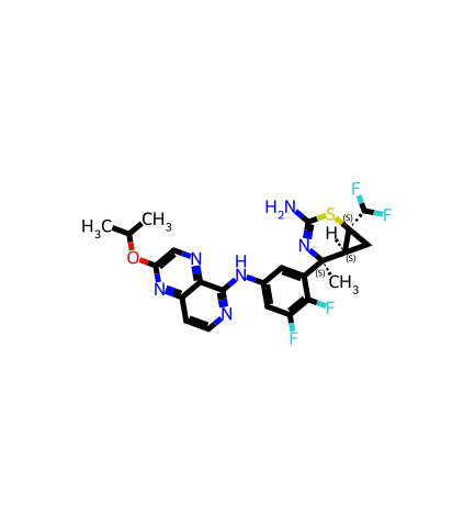 CC(C)Oc1cnc2c(Nc3cc(F)c(F)c([C@@]4(C)N=C(N)S[C@@]5(C(F)F)C[C@@H]45)c3)nccc2n1